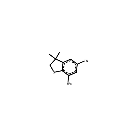 CC(C)(C)c1cc(C#N)cc2c1SCC2(C)C